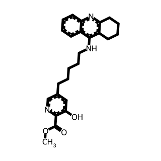 COC(=O)c1ncc(CCCCCNc2c3c(nc4ccccc24)CCCC3)cc1O